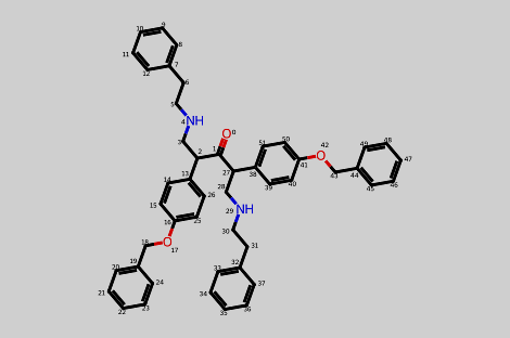 O=C(C(CNCCc1ccccc1)c1ccc(OCc2ccccc2)cc1)C(CNCCc1ccccc1)c1ccc(OCc2ccccc2)cc1